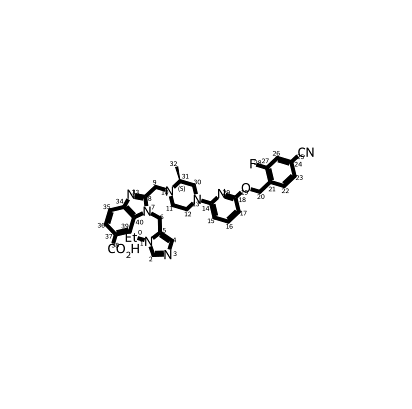 CCn1cncc1Cn1c(CN2CCN(c3cccc(OCc4ccc(C#N)cc4F)n3)C[C@@H]2C)nc2ccc(C(=O)O)cc21